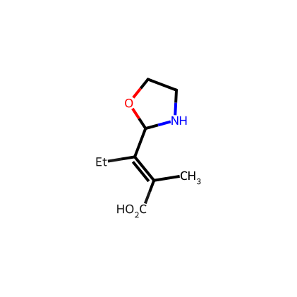 CCC(=C(C)C(=O)O)C1NCCO1